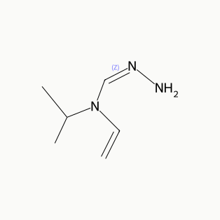 C=CN(/C=N\N)C(C)C